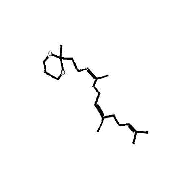 CC(C)=CCCC(C)=CCCC(C)=CCCC1(C)OCCCO1